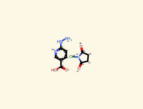 NNc1ccc(C(=O)O)cn1.O=C1CCC(=O)N1Cl